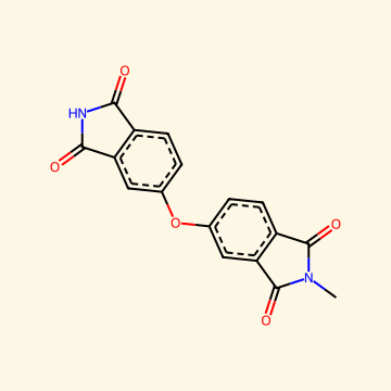 CN1C(=O)c2ccc(Oc3ccc4c(c3)C(=O)NC4=O)cc2C1=O